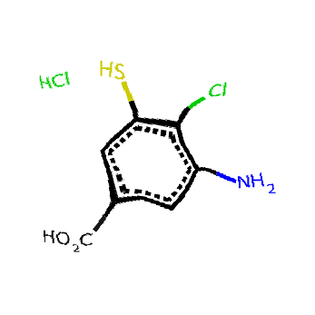 Cl.Nc1cc(C(=O)O)cc(S)c1Cl